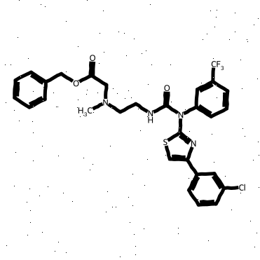 CN(CCNC(=O)N(c1cccc(C(F)(F)F)c1)c1nc(-c2cccc(Cl)c2)cs1)CC(=O)OCc1ccccc1